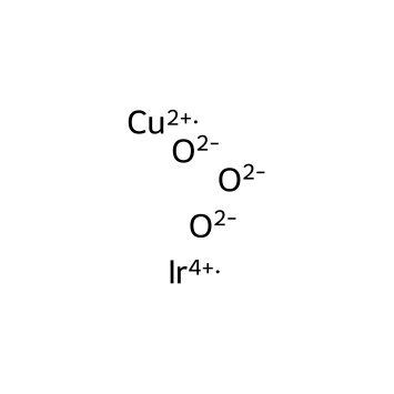 [Cu+2].[Ir+4].[O-2].[O-2].[O-2]